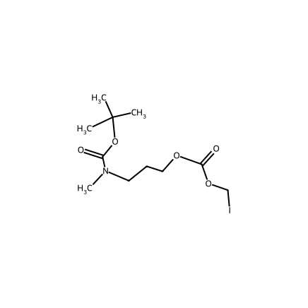 CN(CCCOC(=O)OCI)C(=O)OC(C)(C)C